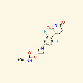 CC(C)(C)NC(=O)OC1CN(c2cc(F)c(C3CCC(=O)NC3=O)c(F)c2)C1